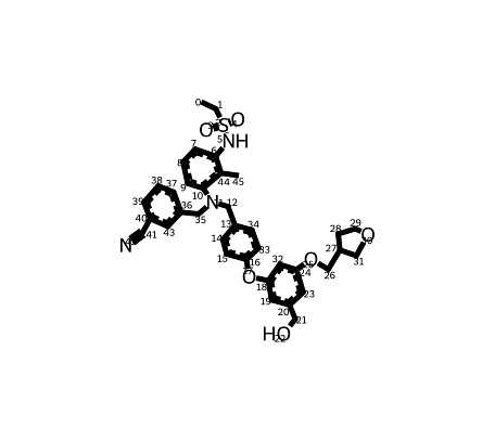 CCS(=O)(=O)Nc1cccc(N(Cc2ccc(Oc3cc(CO)cc(OCC4CCOC4)c3)cc2)Cc2cccc(C#N)c2)c1C